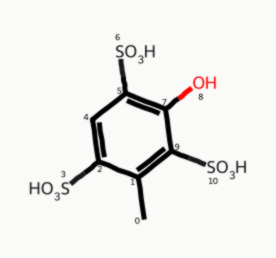 Cc1c(S(=O)(=O)O)cc(S(=O)(=O)O)c(O)c1S(=O)(=O)O